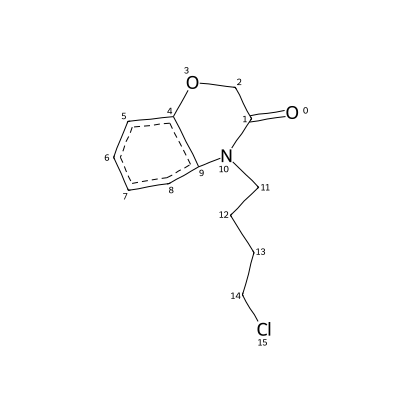 O=C1COc2ccccc2N1CCCCCl